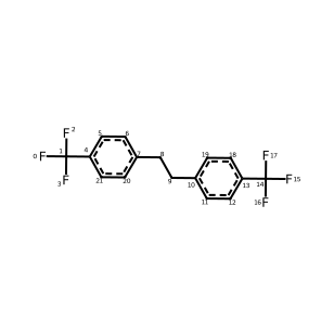 FC(F)(F)c1ccc(CCc2ccc(C(F)(F)F)cc2)cc1